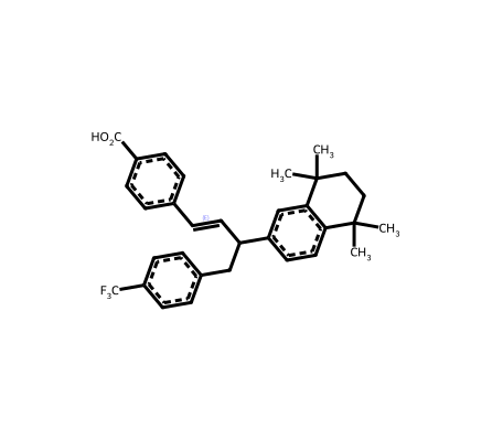 CC1(C)CCC(C)(C)c2cc(C(/C=C/c3ccc(C(=O)O)cc3)Cc3ccc(C(F)(F)F)cc3)ccc21